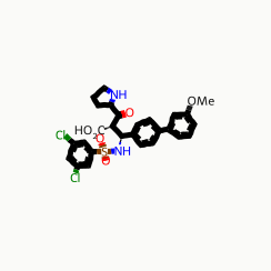 COc1cccc(-c2ccc([C@H](NS(=O)(=O)c3cc(Cl)cc(Cl)c3)[C@H](C(=O)O)C(=O)C3CCCN3)cc2)c1